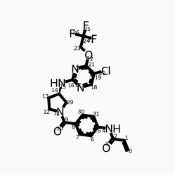 C=CC(=O)Nc1ccc(C(=O)N2CC[C@@H](Nc3ncc(Cl)c(OCC(F)(F)F)n3)C2)cc1